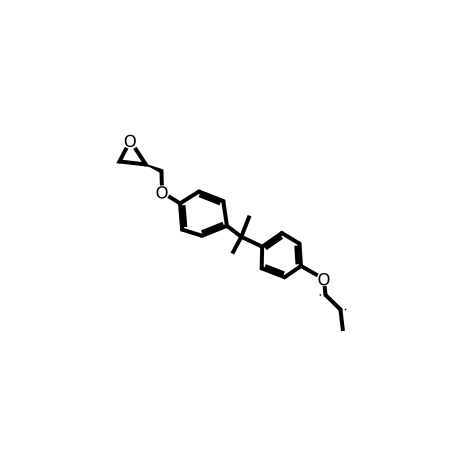 C[CH][CH]Oc1ccc(C(C)(C)c2ccc(OC[C@H]3CO3)cc2)cc1